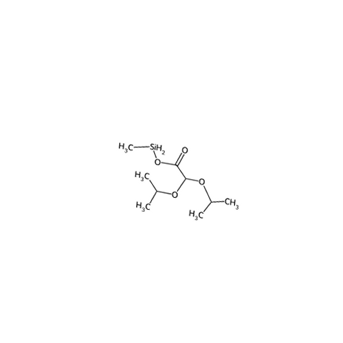 C[SiH2]OC(=O)C(OC(C)C)OC(C)C